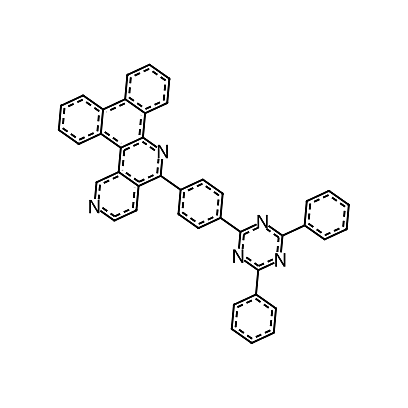 c1ccc(-c2nc(-c3ccccc3)nc(-c3ccc(-c4nc5c6ccccc6c6ccccc6c5c5cnccc45)cc3)n2)cc1